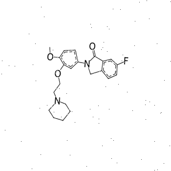 COc1ccc(N2Cc3ccc(F)cc3C2=O)cc1OCCN1CCCCC1